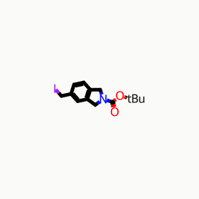 CC(C)(C)OC(=O)N1Cc2ccc(CI)cc2C1